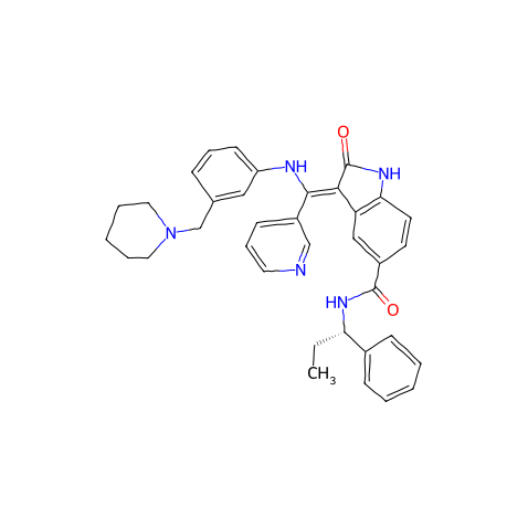 CC[C@H](NC(=O)c1ccc2c(c1)/C(=C(/Nc1cccc(CN3CCCCC3)c1)c1cccnc1)C(=O)N2)c1ccccc1